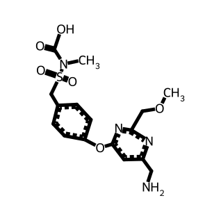 COCc1nc(CN)cc(Oc2ccc(CS(=O)(=O)N(C)C(=O)O)cc2)n1